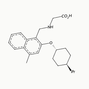 Cc1cc(O[C@H]2CC[C@H](C(C)C)CC2)c(CNCC(=O)O)c2ccccc12